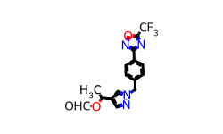 CC(OC=O)c1cnn(Cc2ccc(-c3noc(C(F)(F)F)n3)cc2)c1